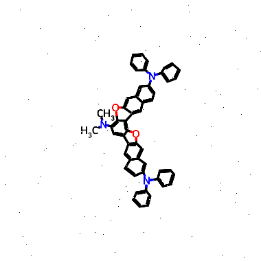 CN(C)c1cc2c3cc4ccc(N(c5ccccc5)c5ccccc5)cc4cc3oc2c2c1oc1cc3cc(N(c4ccccc4)c4ccccc4)ccc3cc12